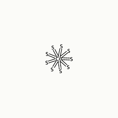 [S]=[Co](=[S])(=[S])(=[S])(=[S])(=[S])(=[S])(=[S])=[S]